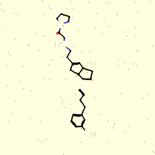 Cc1cccc(C[C@H](O)/C=C/[C@@H]2[C@H]3CC(CCNCC(=O)N4CCCC4)=C[C@H]3C[C@H]2O)c1